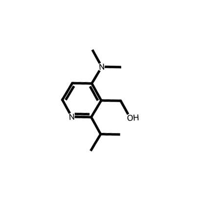 CC(C)c1nccc(N(C)C)c1CO